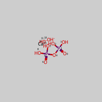 O=P(O)(O)OP(=O)(O)O.[Ca+2].[OH-].[OH-]